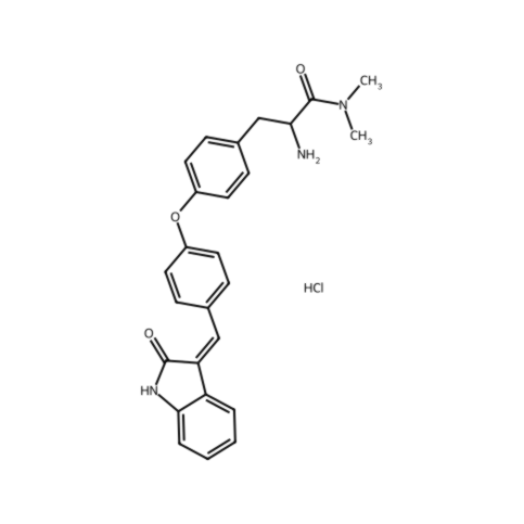 CN(C)C(=O)C(N)Cc1ccc(Oc2ccc(C=C3C(=O)Nc4ccccc43)cc2)cc1.Cl